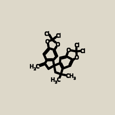 C=C1CC2(CC(C)(C)c3cc4c(cc32)OC(Cl)(Cl)O4)c2cc3c(cc21)OC(Cl)(Cl)O3